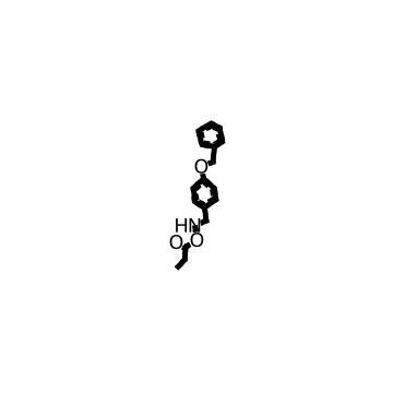 CCC(=O)ONCc1ccc(OCc2ccccc2)cc1